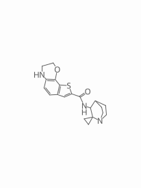 O=C(NC1C2CCN(CC2)C12CC2)c1cc2ccc3c(c2s1)OCCN3